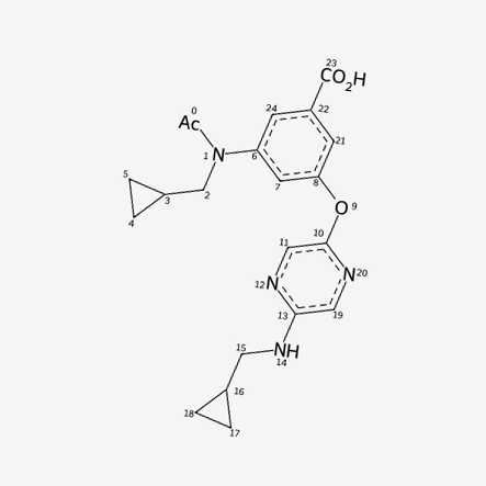 CC(=O)N(CC1CC1)c1cc(Oc2cnc(NCC3CC3)cn2)cc(C(=O)O)c1